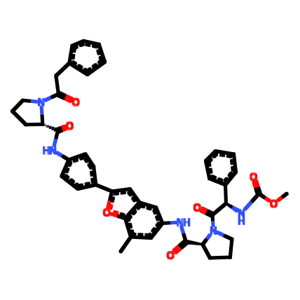 COC(=O)N[C@@H](C(=O)N1CCC[C@H]1C(=O)Nc1cc(C)c2oc(-c3ccc(NC(=O)[C@@H]4CCCN4C(=O)Cc4ccccc4)cc3)cc2c1)c1ccccc1